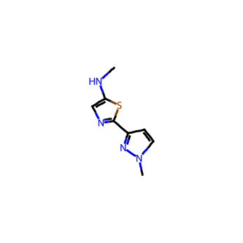 CNc1cnc(-c2ccn(C)n2)s1